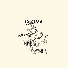 COC(=O)c1ccc(C(c2c[nH]c3ccc(N)cc23)C2CCCC2)c(OC)c1